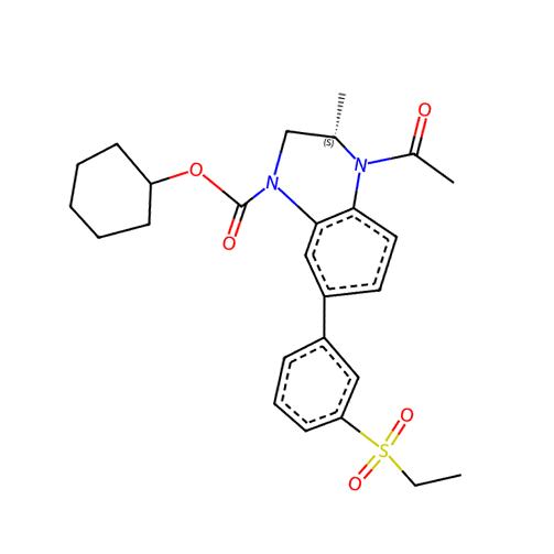 CCS(=O)(=O)c1cccc(-c2ccc3c(c2)N(C(=O)OC2CCCCC2)C[C@H](C)N3C(C)=O)c1